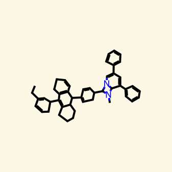 CCC1=CC(C2=C3CCCCC3C(C3=CCC(C4N(C)C5C(c6ccccc6)=CC(c6ccccc6)=CN54)C=C3)C3=C2CCC=C3)CC=C1